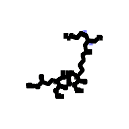 C=C/C=C\C(=C/CC)CNCCCC[C@H](NC(=O)N[C@@H](CCC(=O)OC(C)(C)C)C(=O)OC(C)(C)C)C(=O)OC(C)(C)C